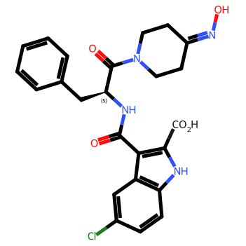 O=C(O)c1[nH]c2ccc(Cl)cc2c1C(=O)N[C@@H](Cc1ccccc1)C(=O)N1CCC(=NO)CC1